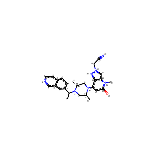 CC(c1ccc2ccncc2c1)N1C[C@H](C)N(c2cc(=O)n(C)c3cn(CC#N)nc23)C[C@H]1C